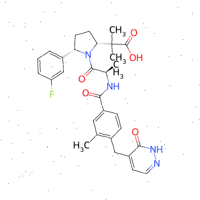 Cc1cc(C(=O)N[C@H](C)C(=O)N2[C@H](c3cccc(F)c3)CC[C@@H]2C(C)(C)C(=O)O)ccc1Cc1ccn[nH]c1=O